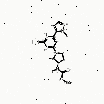 CN(C(=O)OC(C)(C)C)[C@@H]1CCN(c2cc(-c3ccnn3C)nc(N)n2)C1